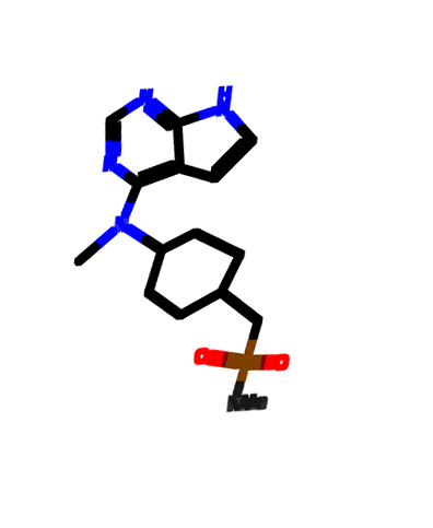 CNS(=O)(=O)CC1CCC(N(C)c2ncnc3[nH]ccc23)CC1